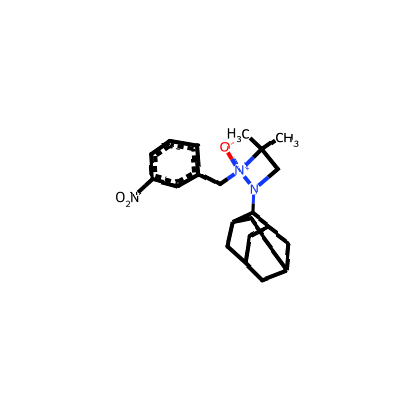 CC1(C)CN(C2C3CC4CC(C3)CC2C4)[N+]1([O-])Cc1cccc([N+](=O)[O-])c1